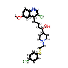 COc1ccc2ncc(Cl)c(CCCC(O)C3CCN(CCSc4ccc(Cl)cc4)CC3)c2c1